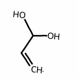 [CH]=CC(O)O